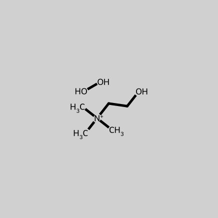 C[N+](C)(C)CCO.OO